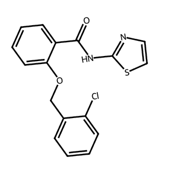 O=C(Nc1nccs1)c1ccccc1OCc1ccccc1Cl